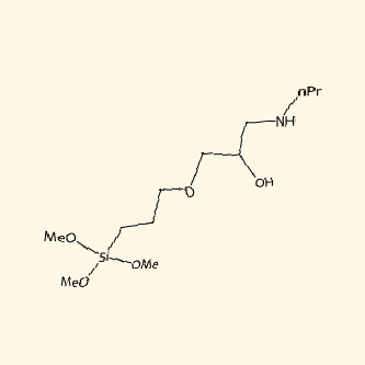 CCCNCC(O)COCCC[Si](OC)(OC)OC